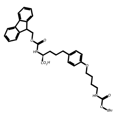 CC(C)(C)OC(=O)NCCCCOc1ccc(CCC[C@H](NC(=O)OCC2c3ccccc3-c3ccccc32)C(=O)O)cc1